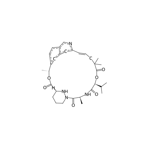 CC(C)[C@@H]1OC(=O)C(C)(C)C/C=C/c2cc3cc(ccc3cn2)[C@@H](C)OC(=O)[C@@H]2CCCN(N2)C(=O)[C@H](C)NC1=O